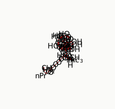 C=CCCC1C(CCC)C1COC(=O)NCCOCCOCCOCCOCCC(=O)N[C@H](CCCCNC(=O)COC1CCCCCc2c1nnn2CC1OC2OC3C(CO)OC(OC4C(CO)OC(OC5C(CO)OC(OC6C(CO)OC(OC7C(CO)OC(OC1C(O)C2O)C(O)C7O)C(O)C6O)C(O)C5O)C(O)C4O)C(O)C3O)C(=O)N[C@H](C(=O)N[C@@H](C)C(C)=O)C(C)C